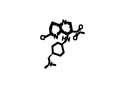 CN(C)C[C@H]1CC[C@H](Nc2c(S(C)(=O)=O)cnc3ccc(Cl)nc23)CC1